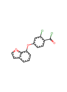 O=C(Cl)c1ccc(Oc2cccc3ccoc23)cc1Cl